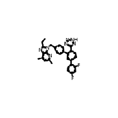 CCc1nc2c(C)cc(C)nc2n1Cc1ccc(-c2cc(-c3ccc(F)cc3F)ccc2-c2nn[nH]n2)cc1